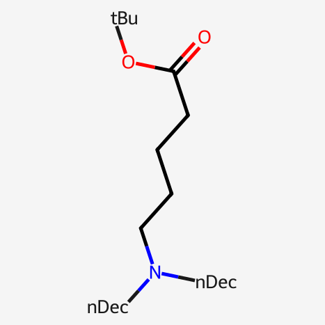 CCCCCCCCCCN(CCCCCCCCCC)CCCCC(=O)OC(C)(C)C